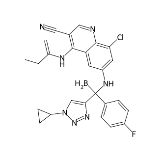 BC(Nc1cc(Cl)c2ncc(C#N)c(NC(=C)CC)c2c1)(c1ccc(F)cc1)c1cn(C2CC2)nn1